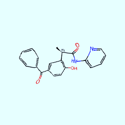 C[C@@H](C(=O)Nc1ccccn1)c1cc(C(=O)c2ccccc2)ccc1O